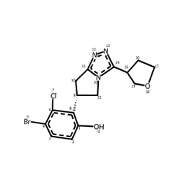 Oc1ccc(Br)c(Cl)c1[C@@H]1Cc2nnc(C3CCOC3)n2C1